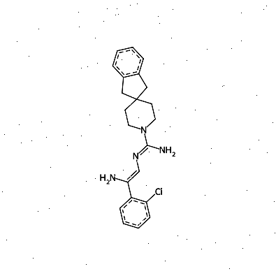 N/C(=C\N=C(/N)N1CCC2(CC1)Cc1ccccc1C2)c1ccccc1Cl